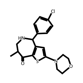 CC1CNC(c2ccc(Cl)cc2)c2cc(N3CCOCC3)sc2C1=O